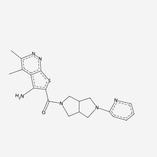 Cc1nnc2sc(C(=O)N3CC4CN(c5ccccn5)CC4C3)c(N)c2c1C